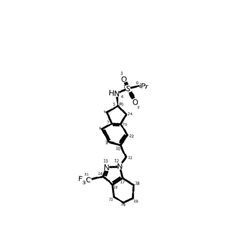 CC(C)S(=O)(=O)N[C@@H]1Cc2ccc(Cn3nc(C(F)(F)F)c4c3CCCC4)cc2C1